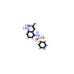 CC1=Cc2c(cccc2NS(=O)(=O)c2ccccc2)NN1